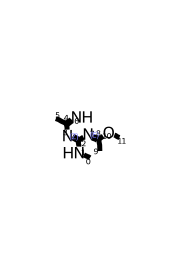 CNC(=N/C(C)=N)/N=C(\C)OC